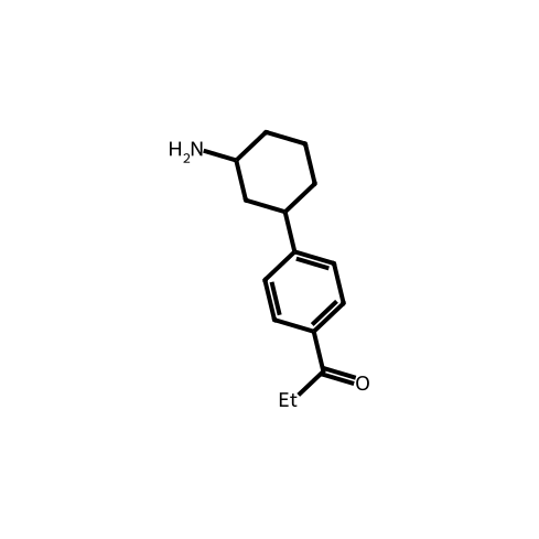 CCC(=O)c1ccc(C2CCCC(N)C2)cc1